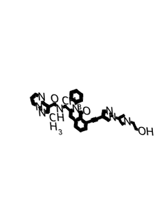 Cc1nn2cccnc2c1C(=O)NC(C)c1cc2cccc(C#Cc3cnn(C4CN(CCO)C4)c3)c2c(=O)n1-c1ccccc1